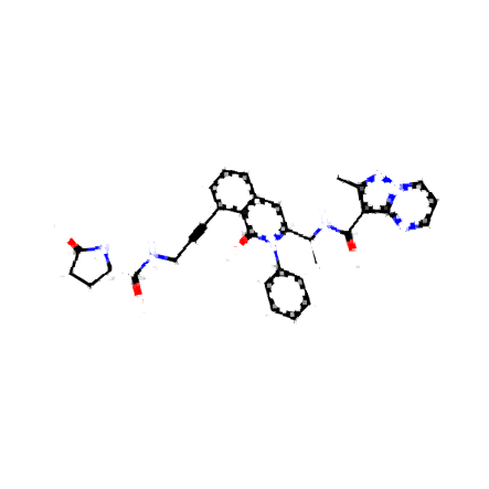 Cc1nn2cccnc2c1C(=O)N[C@@H](C)c1cc2cccc(C#CCNC(=O)[C@@H]3CCC(=O)N3)c2c(=O)n1-c1ccccc1